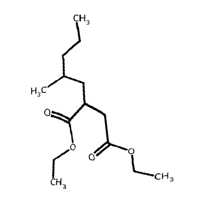 CCCC(C)CC(CC(=O)OCC)C(=O)OCC